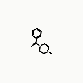 CN1CCN(C(=O)c2ccccc2)CC1